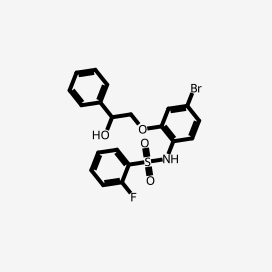 O=S(=O)(Nc1ccc(Br)cc1OCC(O)c1ccccc1)c1ccccc1F